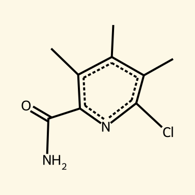 Cc1c(Cl)nc(C(N)=O)c(C)c1C